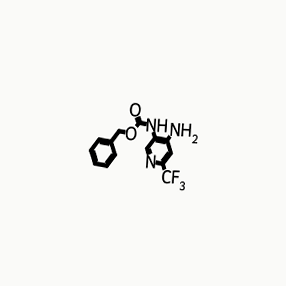 Nc1cc(C(F)(F)F)ncc1NC(=O)OCc1ccccc1